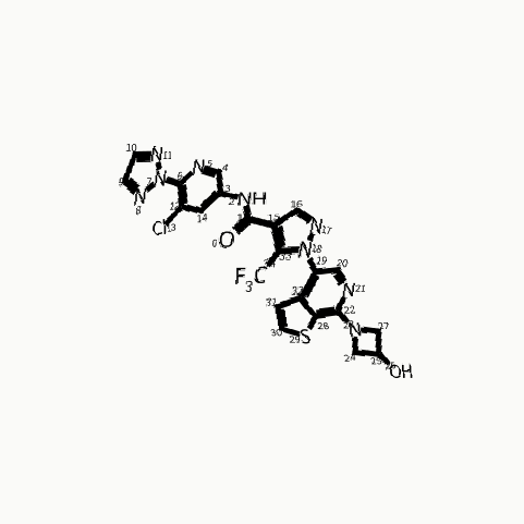 O=C(Nc1cnc(-n2nccn2)c(Cl)c1)c1cnn(-c2cnc(N3CC(O)C3)c3sccc23)c1C(F)(F)F